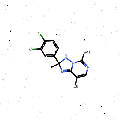 CSC1=NC=C(C#N)C2=NC(C)(c3ccc(Cl)c(Cl)c3)NN12